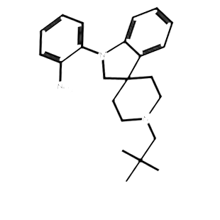 CC(C)(C)CN1CCC2(CC1)CN(c1ccccc1N)c1ccccc12